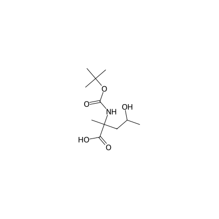 CC(O)CC(C)(NC(=O)OC(C)(C)C)C(=O)O